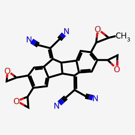 CC1OC1c1cc2c(cc1C1CO1)C(=C(C#N)C#N)C1c3cc(C4CO4)c(C4CO4)cc3C(=C(C#N)C#N)C21